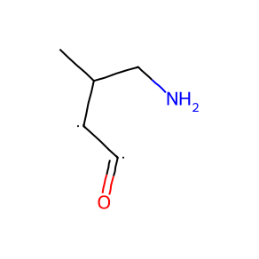 CC([CH][C]=O)CN